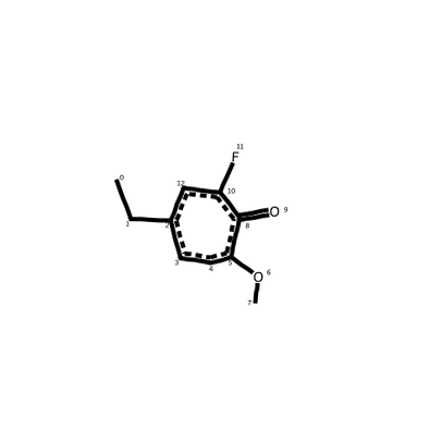 CCc1ccc(OC)c(=O)c(F)c1